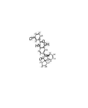 O=C(Nc1ccc(NC(=O)C2(c3ccccc3)CCCC2)cc1O)c1cccc(Cl)c1